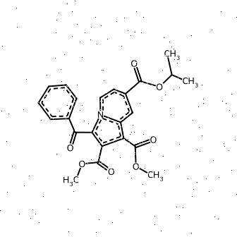 COC(=O)c1c(C(=O)OC)c2cc(C(=O)OC(C)C)ccn2c1C(=O)c1ccccc1